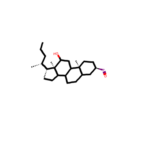 CCC[C@@H](C)[C@H]1CCC2C3CCC4C[C@H](P=O)CC[C@]4(C)C3CC(O)[C@@]21C